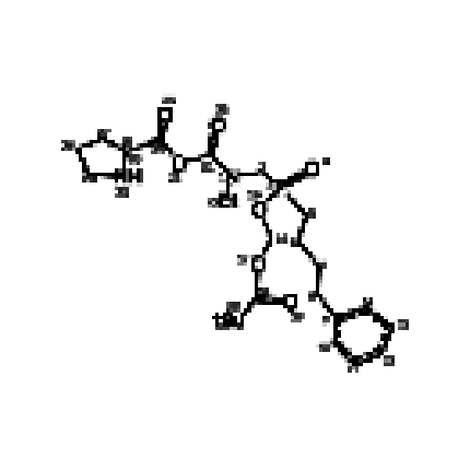 CCN(CP(=O)(CCCCc1ccccc1)OCOC(=O)C(C)(C)C)C(=O)OC(=O)[C@@H]1CCCN1